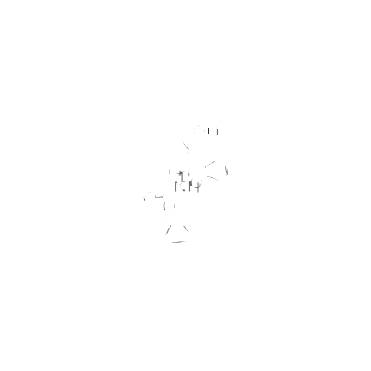 C/C(=C\CCP(=O)(NC(C)C(=O)OCc1ccccc1)Oc1ccccc1)CO